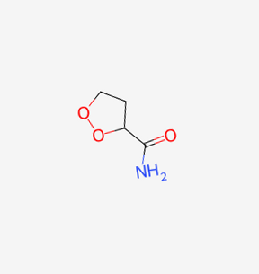 NC(=O)C1CCOO1